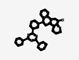 Clc1cc2c3ccccc3c(-c3cccc(-c4nc(-c5ccccc5)nc(-c5ccccc5)n4)c3)cc2c2cccnc12